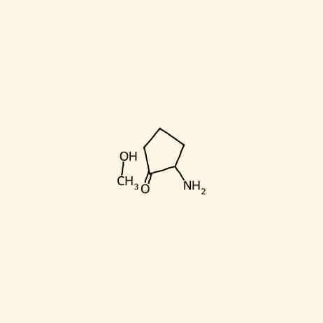 CO.NC1CCCC1=O